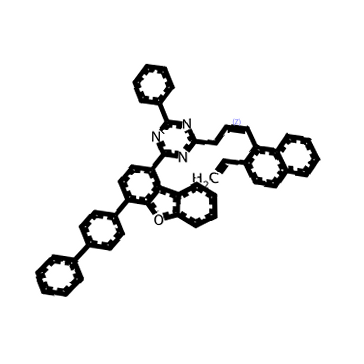 C=Cc1ccc2ccccc2c1/C=C\Cc1nc(-c2ccccc2)nc(-c2ccc(-c3ccc(-c4ccccc4)cc3)c3oc4ccccc4c23)n1